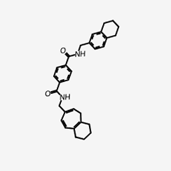 O=C(NCC1=CCC2=C(C=C1)CCCC2)c1ccc(C(=O)NCc2ccc3c(c2)CCCC3)cc1